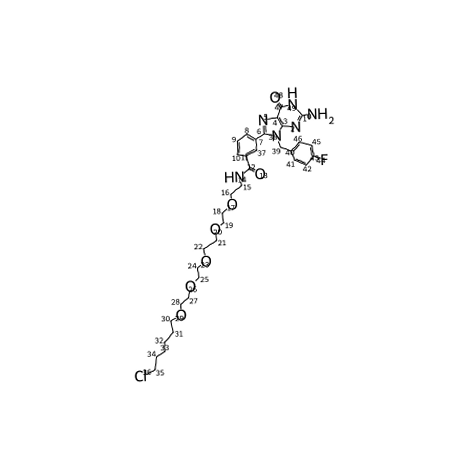 Nc1nc2c(nc(-c3cccc(C(=O)NCCOCCOCCOCCOCCOCCCCCCCl)c3)n2Cc2ccc(F)cc2)c(=O)[nH]1